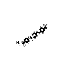 NC(=O)c1ccc(OC(=O)N2CCC(CCc3ccc(C(F)(F)F)cc3)CC2)cc1